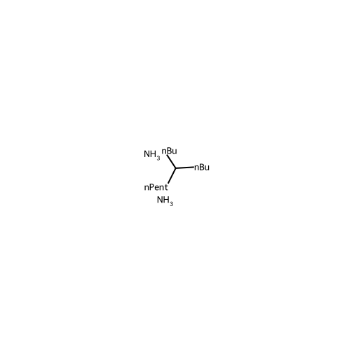 CCCCCC(CCCC)CCCC.N.N